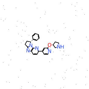 c1ccc([C@H]2CCc3nc4ccc(-c5ccnc(O[C@@H]6CCNC6)c5)nc4n32)cc1